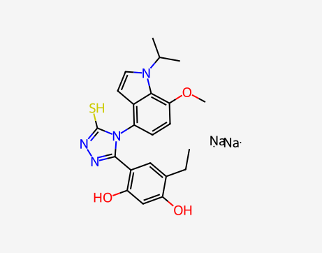 CCc1cc(-c2nnc(S)n2-c2ccc(OC)c3c2ccn3C(C)C)c(O)cc1O.[Na].[Na]